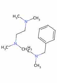 CN(C)CCN(C)C.CN(C)Cc1ccccc1